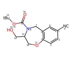 [C-]#[N+]c1ccc2c(c1)CN(C(=O)OC(C)(C)C)C(CO)CO2